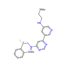 CNCCNc1cncc(-c2cc(NC[C@@H](C)c3ccccc3OC)ncn2)c1